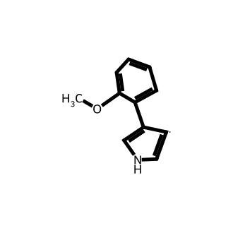 COc1ccccc1-c1[c]c[nH]c1